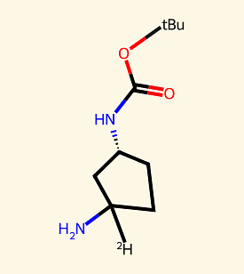 [2H]C1(N)CC[C@@H](NC(=O)OC(C)(C)C)C1